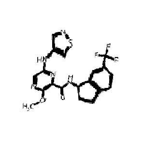 COc1ncc(Nc2cnsc2)nc1C(=O)NC1CCc2ccc(C(F)(F)F)cc21